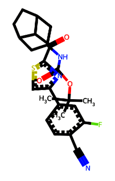 CC(C)(C)OC(=O)NC1CC2CCC(C1)C2C(=O)c1nc(-c2ccc(C#N)c(F)c2)cs1